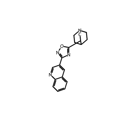 c1ccc2ncc(-c3noc(C4CN5CCC4CC5)n3)cc2c1